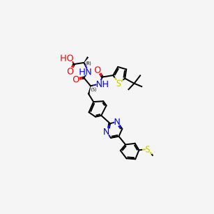 CSc1cccc(-c2cnc(-c3ccc(C[C@H](NC(=O)c4ccc(C(C)(C)C)s4)C(=O)N[C@H](C)C(=O)O)cc3)nc2)c1